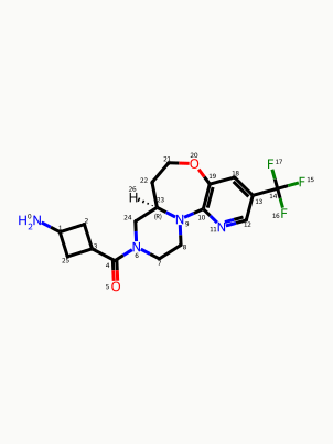 NC1CC(C(=O)N2CCN3c4ncc(C(F)(F)F)cc4OCC[C@@H]3C2)C1